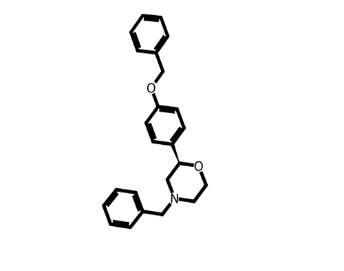 c1ccc(COc2ccc([C@@H]3CN(Cc4ccccc4)CCO3)cc2)cc1